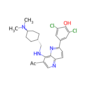 CC(=O)c1cnc2ccc(-c3cc(Cl)c(O)c(Cl)c3)nc2c1NC[C@H]1CC[C@H](N(C)C)CC1